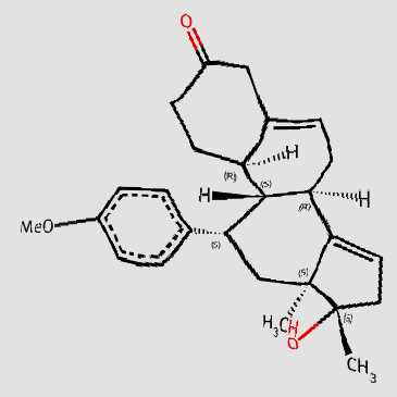 COc1ccc([C@H]2C[C@@]3(C)C(=CC[C@]3(C)O)[C@@H]3CC=C4CC(=O)CC[C@@H]4[C@@H]23)cc1